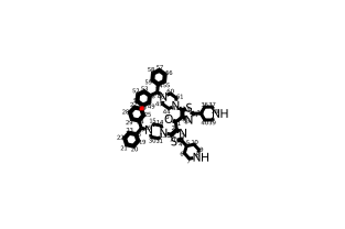 O=C(c1nc(C2CCNCC2)sc1N1CCN(C(c2ccccc2)c2ccccc2)CC1)c1nc(C2CCNCC2)sc1N1CCN(C(c2ccccc2)c2ccccc2)CC1